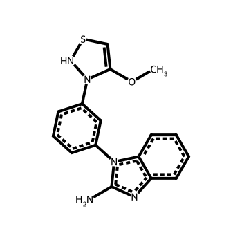 COC1=CSNN1c1cccc(-n2c(N)nc3ccccc32)c1